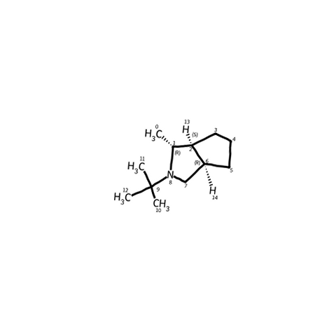 C[C@@H]1[C@H]2CCC[C@H]2CN1C(C)(C)C